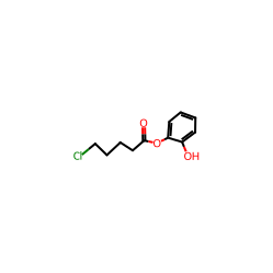 O=C(CCCCCl)Oc1ccccc1O